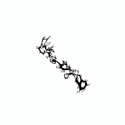 O=C(NCc1nnc2n1CCCNC2)c1ccc(NC(=O)N2Cc3ccccc3C2)nn1